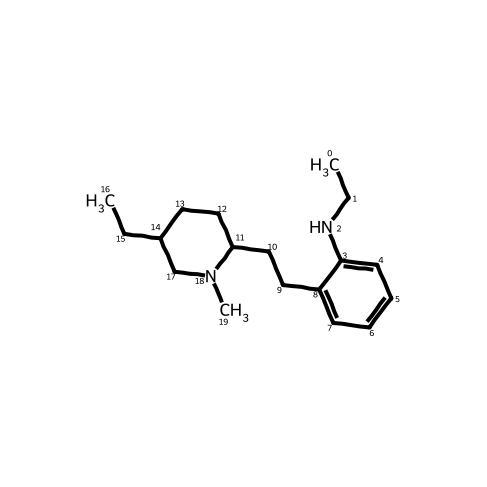 CCNc1ccccc1CCC1CCC(CC)CN1C